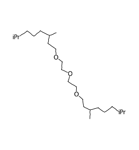 CC(C)CCCC(C)CCOCCOCCOCCC(C)CCCC(C)C